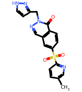 Cc1ccc(S(=O)(=O)c2ccc3c(=O)n(Cc4cc[nH]n4)ncc3c2)nc1